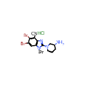 CC(C)n1c(N2CCC[C@H](N)C2)nc2c(C#N)c(Br)c(Br)cc21.Cl